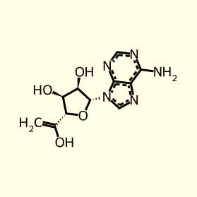 C=C(O)[C@H]1O[C@@H](n2cnc3c(N)ncnc32)[C@H](O)[C@@H]1O